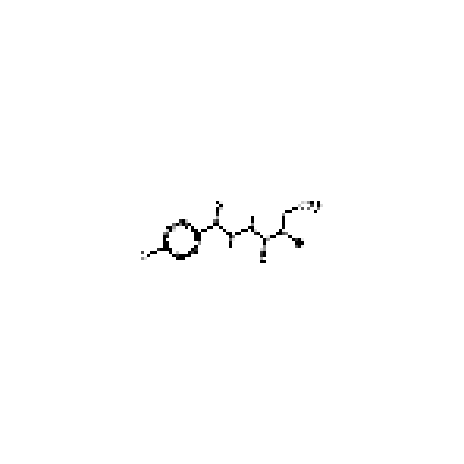 CCN(CC(=O)O)C(=O)NNC(=O)c1ccc(Cl)cc1